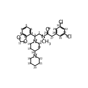 CN(CC(c1cccc2c1OCO2)N1CCC(N2CCCCC2)CC1)C(=O)Cc1cc(Cl)cc(Cl)c1